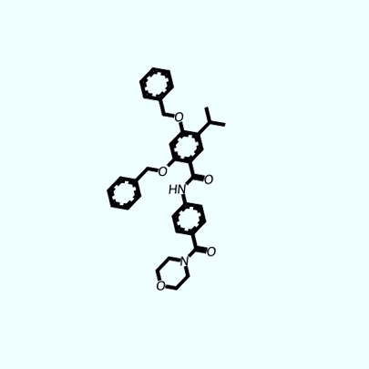 CC(C)c1cc(C(=O)Nc2ccc(C(=O)N3CCOCC3)cc2)c(OCc2ccccc2)cc1OCc1ccccc1